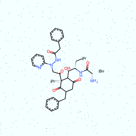 CC[C@H](C)[C@H](N)C(=O)N[C@@H](CC(C)C)[C@@H](O)C1C(=O)CC(Cc2ccccc2)C(=O)[C@]1(C(=O)CN(NC(=O)Cc1ccccc1)c1ccccn1)C(C)C